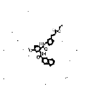 CCOC(=O)CCc1cccc(NC(=O)c2ccc(OC)cc2NC(=O)c2ccc3ccccc3c2)c1